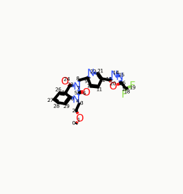 COCCn1c(=O)n(Cc2ccc(-c3nnc(C(F)F)o3)cn2)c(=O)c2ccccc21